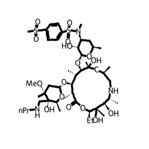 CCCNC[C@]1(O)[C@H](C)O[C@@H](O[C@H]2[C@H](C)[C@@H](O[C@@H]3O[C@H](C)C[C@H](N(C)S(=O)(=O)c4ccc(S(C)(=O)=O)cc4)[C@H]3O)[C@](C)(O)C[C@@H](C)CN[C@H](C)[C@@H](O)[C@](C)(O)[C@@H](CC)OC(=O)[C@@H]2C)C[C@@]1(C)OC